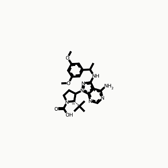 COc1cc(OC)cc(C(C)Nc2nn(C3CCN(C(=O)O)[C@H]3C(C)(C)C)c3ncnc(N)c23)c1